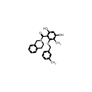 Cc1cccc(COc2c(C)c(O)cc(O)c2C(=O)N2CCc3ccccc3C2)c1